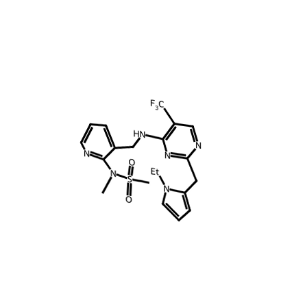 CCn1cccc1Cc1ncc(C(F)(F)F)c(NCc2cccnc2N(C)S(C)(=O)=O)n1